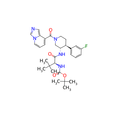 CC(C)(C)OC(=O)N[C@H](C(=O)N[C@@H]1CN(C(=O)c2cccn3cncc23)CC[C@H]1c1cccc(F)c1)C(C)(C)C